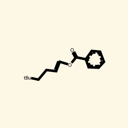 CC(C)(C)CCC=COC(=O)c1ccccc1